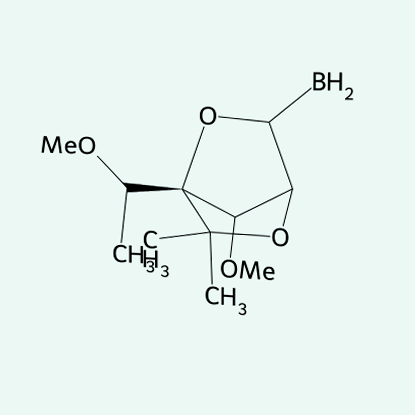 BC1O[C@]2(C(C)OC)C(OC)C1OC2(C)C